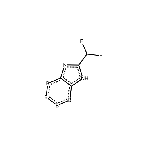 FC(F)c1nc2bbbbc2[nH]1